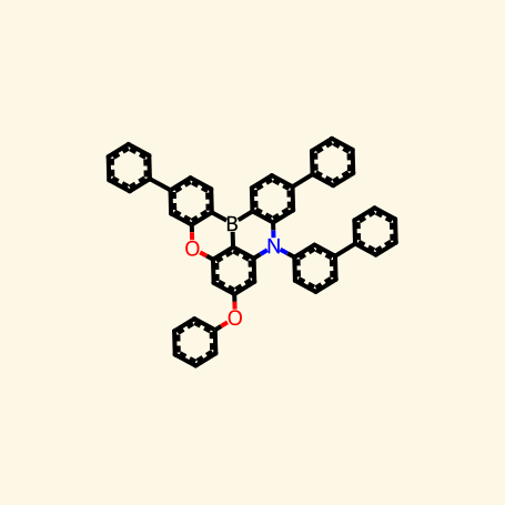 c1ccc(Oc2cc3c4c(c2)N(c2cccc(-c5ccccc5)c2)c2cc(-c5ccccc5)ccc2B4c2ccc(-c4ccccc4)cc2O3)cc1